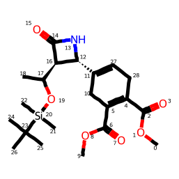 COC(=O)C1=C(C(=O)OC)CC([C@H]2NC(=O)[C@@H]2C(C)O[Si](C)(C)C(C)(C)C)=CC1